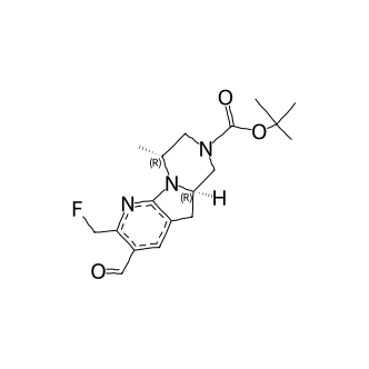 C[C@@H]1CN(C(=O)OC(C)(C)C)C[C@H]2Cc3cc(C=O)c(CF)nc3N21